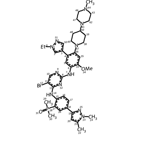 CCn1cc(-c2cc(Nc3ncc(Br)c(Nc4ccc(-c5cc(C)n(C)n5)cc4P(C)(C)=O)n3)c(OC)cc2N2CCC(N3CCN(C)CC3)CC2)cn1